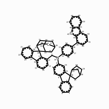 c1ccc2c(c1)-c1ccc(N(Cc3cccc4c3C3(c5ccccc5-4)C4CCC5CC(C4)CC3C5)c3ccc(-c4cccc5c4oc4ccccc45)cc3)cc1C21CC2CCC1C2